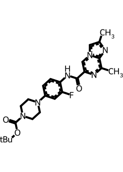 Cc1cn2cc(C(=O)Nc3ccc(N4CCN(C(=O)OC(C)(C)C)CC4)cc3F)nc(C)c2n1